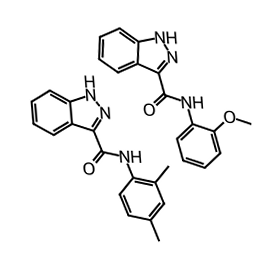 COc1ccccc1NC(=O)c1n[nH]c2ccccc12.Cc1ccc(NC(=O)c2n[nH]c3ccccc23)c(C)c1